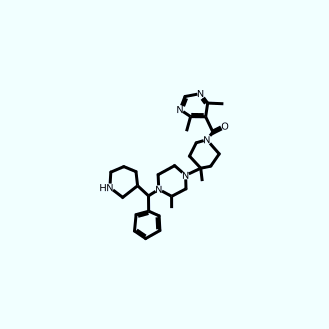 Cc1ncnc(C)c1C(=O)N1CCC(C)(N2CCN(C(c3ccccc3)C3CCCNC3)C(C)C2)CC1